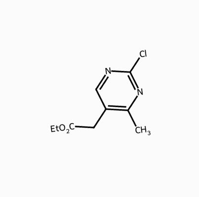 CCOC(=O)Cc1cnc(Cl)nc1C